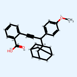 COc1ccc(C(C#Cc2ccccc2C(=O)O)C23CC4CC(CC(C4)C2)C3)cc1